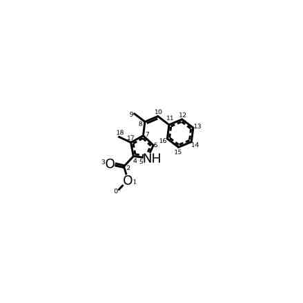 COC(=O)c1[nH]cc(C(C)=Cc2ccccc2)c1C